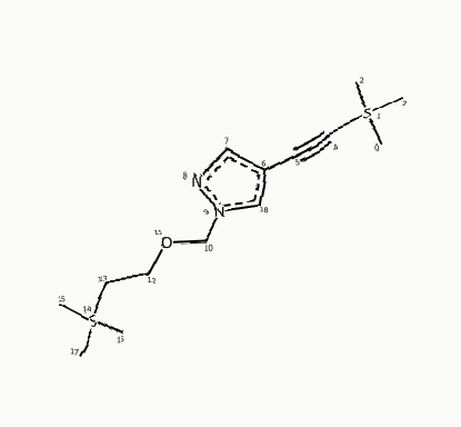 CS(C)(C)C#Cc1cnn(COCCS(C)(C)C)c1